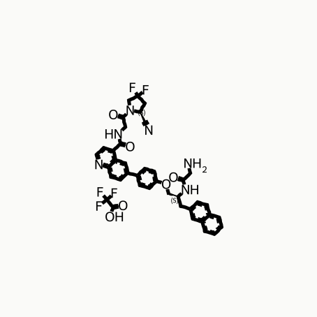 N#C[C@@H]1CC(F)(F)CN1C(=O)CNC(=O)c1ccnc2ccc(-c3ccc(OC[C@H](Cc4ccc5ccccc5c4)NC(=O)CN)cc3)cc12.O=C(O)C(F)(F)F